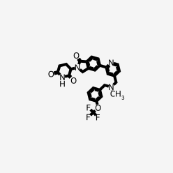 CN(Cc1cccc(OC(F)(F)F)c1)Cc1ccnc(-c2ccc3c(c2)CN(C2CCC(=O)NC2=O)C3=O)c1